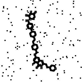 O=C1CC[C@H](Nc2ccc(N3CCN(CCN4CCC(COc5cc(F)c6c(=O)[nH]c(CSC7CCOCC7)nc6c5)CC4)CC3)cc2)C(=O)N1